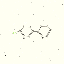 Fc1ccc(C2=CC=CCC2)cc1